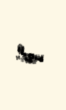 Cn1ncc(Br)c1-c1cc(NC(=O)NCc2cccc(F)c2)ccc1OCCN1CCOCC1